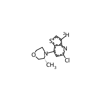 [2H]c1csc2c(N3CCOC[C@H]3C)cc(Cl)nc12